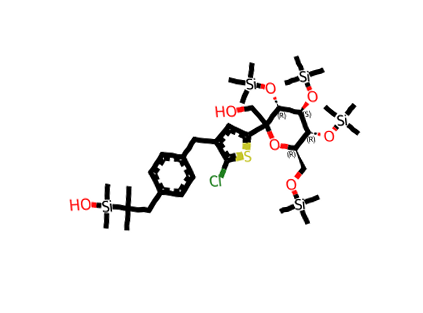 CC(C)(Cc1ccc(Cc2cc(C3(CO)O[C@H](CO[Si](C)(C)C)[C@@H](O[Si](C)(C)C)[C@H](O[Si](C)(C)C)[C@H]3O[Si](C)(C)C)sc2Cl)cc1)[Si](C)(C)O